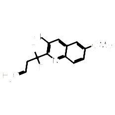 C=CCC(F)(F)c1nc2ccc(OC)cc2cc1Cl